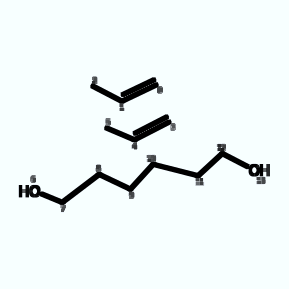 C=CC.C=CC.OCCCCCCO